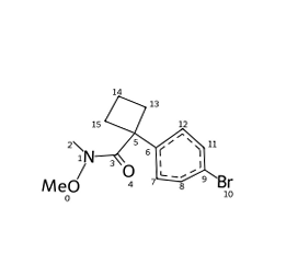 CON(C)C(=O)C1(c2ccc(Br)cc2)CCC1